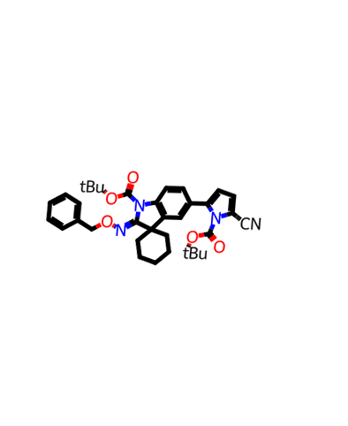 CC(C)(C)OC(=O)N1C(=NOCc2ccccc2)C2(CCCCC2)c2cc(-c3ccc(C#N)n3C(=O)OC(C)(C)C)ccc21